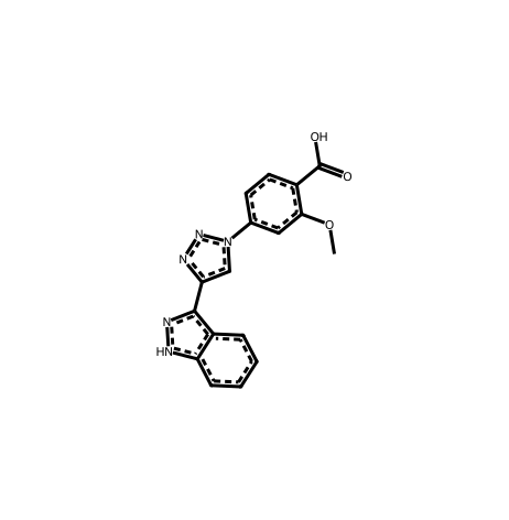 COc1cc(-n2cc(-c3n[nH]c4ccccc34)nn2)ccc1C(=O)O